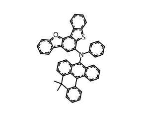 CC1(C)c2ccccc2-c2c3ccccc3c(N(c3ccccc3)c3cc4c5ccccc5oc4c4c3sc3ccccc34)c3cccc1c23